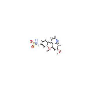 COc1ccc2c(-c3ccc(CN[SH](=O)=O)cc3OC)ccnc2c1